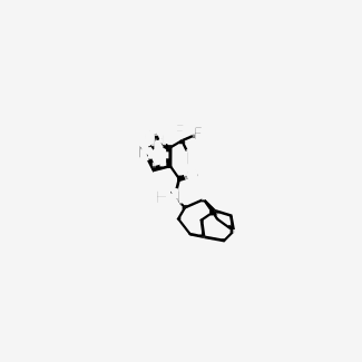 Cn1ncc(C(=O)NC2CCC3CC4CC(C3)C2C4)c1C(F)(F)F